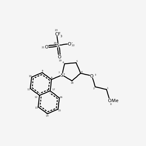 COCCOC1CC[S+](c2cccc3ccccc23)C1.O=S(=O)([O-])C(F)(F)F